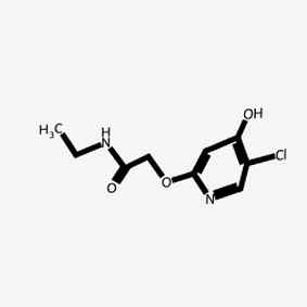 CCNC(=O)COc1cc(O)c(Cl)cn1